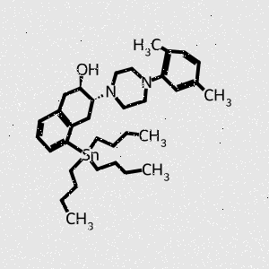 CCC[CH2][Sn]([CH2]CCC)([CH2]CCC)[c]1cccc2c1C[C@@H](N1CCN(c3cc(C)ccc3C)CC1)[C@H](O)C2